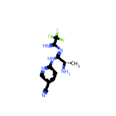 C[C@H](N)/C(=N/C(=N)C(F)(F)F)Nc1ccc(C#N)cn1